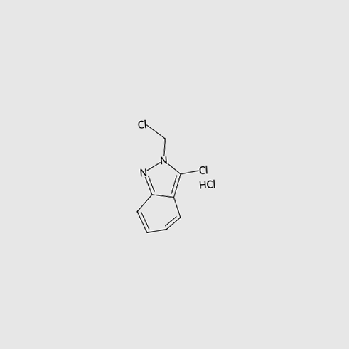 Cl.ClCn1nc2ccccc2c1Cl